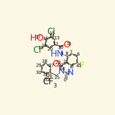 Cc1nc2c(F)ccc(NC(=O)c3cc(Cl)c(O)c(Cl)c3)c2c(=O)n1Cc1ccccc1C(F)(F)F